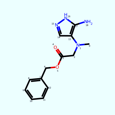 CN(CC(=O)OCc1ccccc1)c1cn[nH]c1N